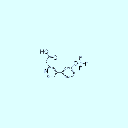 O=C(O)Cc1cc(-c2cccc(OC(F)(F)F)c2)ccn1